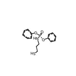 O=P(NCCCS)(Oc1ccccc1)Oc1ccccc1